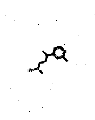 CCCN(C)CCC(C)c1ccnc(C)c1